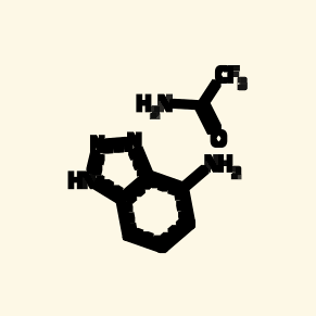 NC(=O)C(F)(F)F.Nc1cccc2[nH]nnc12